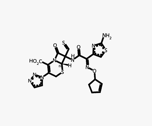 Nc1nc(C(=NOC2C=CCC2)C(=O)NC2(C=S)C(=O)N3C(C(=O)O)=C(n4ccnn4)CS[C@H]32)cs1